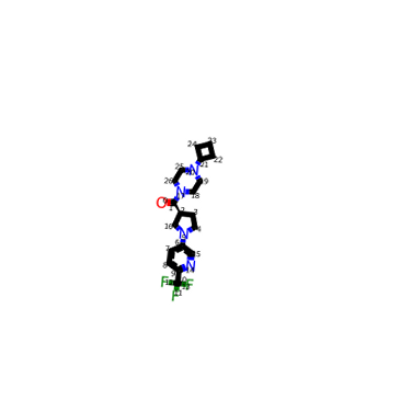 O=C([C@H]1CCN(c2ccc(C(F)(F)F)nc2)C1)N1CCN(C2CCC2)CC1